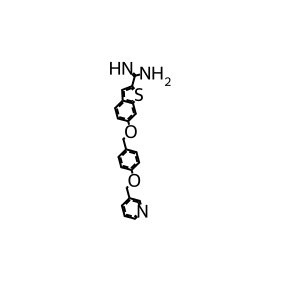 N=C(N)c1cc2ccc(OCc3ccc(OCc4cccnc4)cc3)cc2s1